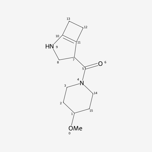 COC1CCN(C(=O)C2CNC3=C2CC3)CC1